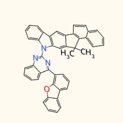 CC1(C)c2cc3c(cc2-c2ccc4ccccc4c21)c1ccccc1n3-c1nc(-c2cccc3c2oc2ccccc23)c2ccccc2n1